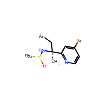 CC(=O)C[C@](C)(N[S@+]([O-])C(C)(C)C)c1cc(Br)ccn1